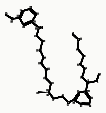 CCN(CCOCCOC)c1cccc(OCC[C@H](C)CCOCCOCCNc2cccc(OC)c2)c1